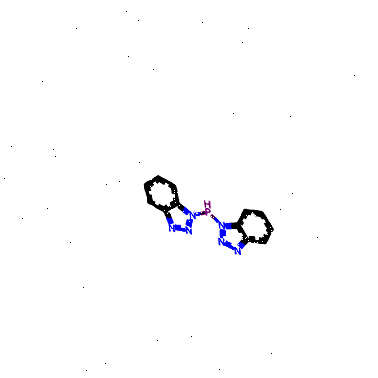 c1ccc2c(c1)nnn2Pn1nnc2ccccc21